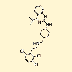 CN(C)c1nc(N[C@H]2CC[C@@H](CNCCc3c(Cl)ccc(Cl)c3Cl)CC2)nc2ccccc12